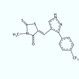 CN1C(=O)/C(=C/c2c[nH]nc2-c2ccc(C(F)(F)F)cc2)SC1=S